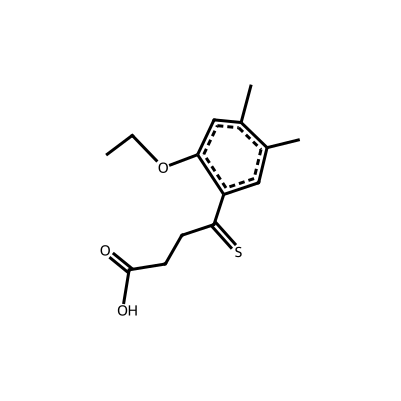 CCOc1cc(C)c(C)cc1C(=S)CCC(=O)O